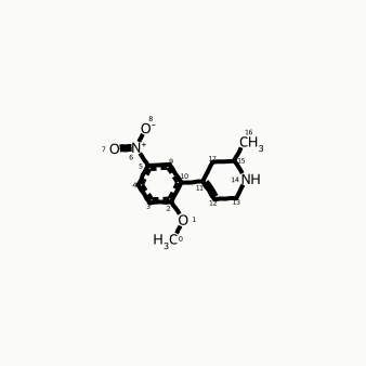 COc1ccc([N+](=O)[O-])cc1C1=CCNC(C)C1